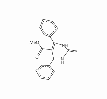 COC(=O)C1=C(c2ccccc2)NC(=S)NC1c1ccccc1